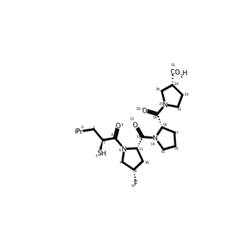 CC(C)C[C@H](S)C(=O)N1C[C@@H](F)C[C@H]1C(=O)N1CCC[C@H]1C(=O)N1CC[C@@H](C(=O)O)C1